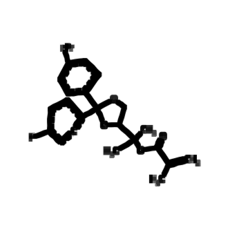 C=C(C)C(=O)OC(C)(C)C1COC(c2ccc(F)cc2)(c2ccc(CCC)cc2)O1